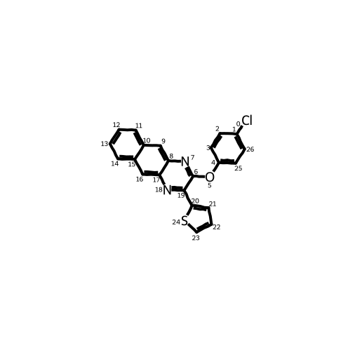 Clc1ccc(Oc2nc3cc4ccccc4cc3nc2-c2cccs2)cc1